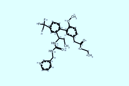 CCOC(=O)Cc1ccc(OC)c(-c2ccc(C(F)(F)F)cc2C(CC)NC(=O)NCc2cccnc2)c1